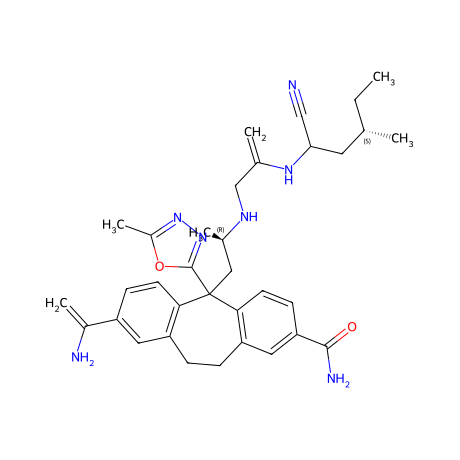 C=C(CN[C@H](C)CC1(c2nnc(C)o2)c2ccc(C(=C)N)cc2CCc2cc(C(N)=O)ccc21)NC(C#N)C[C@@H](C)CC